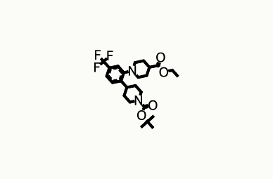 CCOC(=O)C1CCN(c2cc(C(F)(F)F)ccc2C2CCN(C(=O)OC(C)(C)C)CC2)CC1